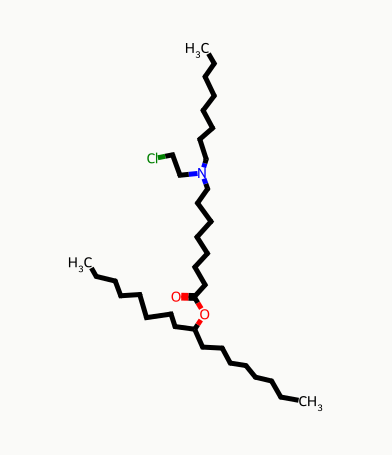 CCCCCCCCC(CCCCCCCC)OC(=O)CCCCCCCN(CCCl)CCCCCCCC